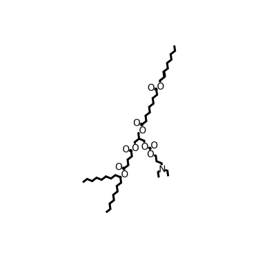 CCCCCCC=CCOC(=O)CCCCCCCC(=O)OCC(COC(=O)CCCC(=O)OC(CCCCCCCC)CCCCCCCC)COC(=O)OCCCN(CC)CC